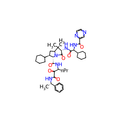 CCCC(NC(=O)[C@@H]1[C@@H](C2CCCCC2)CC2N1C(=O)[C@@H](NC(=O)[C@@H](NC(=O)c1cnccn1)C1CCCCC1)C2(C)C)C(=O)C(=O)N[C@@H](C)c1ccccc1